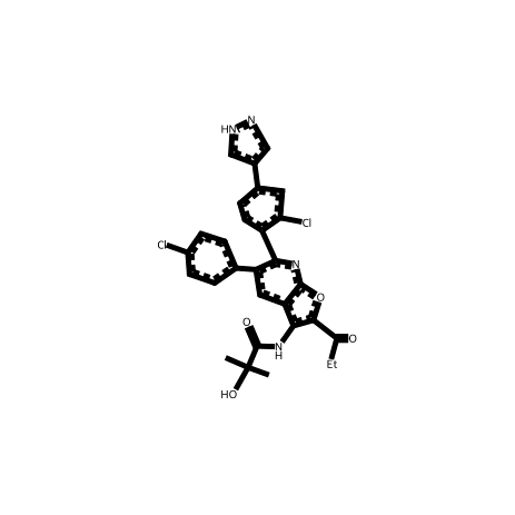 CCC(=O)c1oc2nc(-c3ccc(-c4cn[nH]c4)cc3Cl)c(-c3ccc(Cl)cc3)cc2c1NC(=O)C(C)(C)O